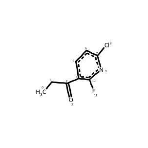 CCC(=O)c1ccc(Cl)nc1F